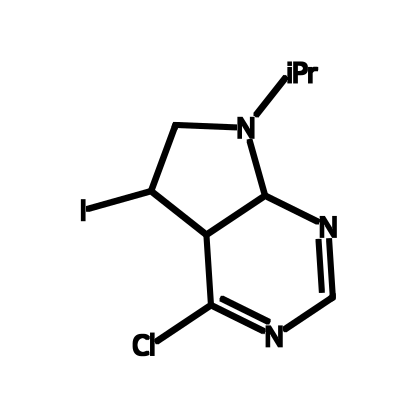 CC(C)N1CC(I)C2C(Cl)=NC=NC21